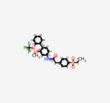 CCS(=O)(=O)c1ccc(CC(=O)Nc2ccc(-c3ccccc3OC(F)(F)F)c(OC)c2)cc1